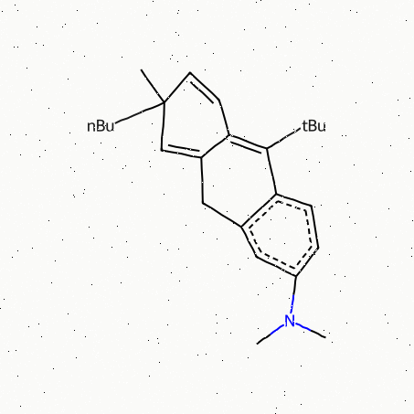 CCCCC1(C)C=CC2=C(C(C)(C)C)c3ccc(N(C)C)cc3CC2=C1